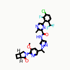 COc1cc(C(C)n2cc(NC(=O)c3nc(-c4c(C(F)F)ccc(Cl)c4F)cnc3C)cn2)cnc1N1C[C@H]2CC[C@H]2C1=O